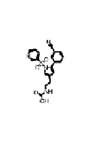 N#Cc1cccc(-c2cc(CCNC(=O)O)cn2S(=O)(=O)c2cccnc2)c1